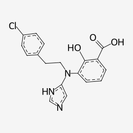 O=C(O)c1cccc(N(CCc2ccc(Cl)cc2)c2cnc[nH]2)c1O